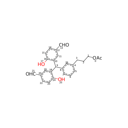 CC(=O)OCCCc1cccc(C(c2cc(C=O)ccc2O)c2cc(C=O)ccc2O)c1